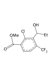 CCC(O)c1c(C(F)(F)F)ccc(C(=O)OC)c1Cl